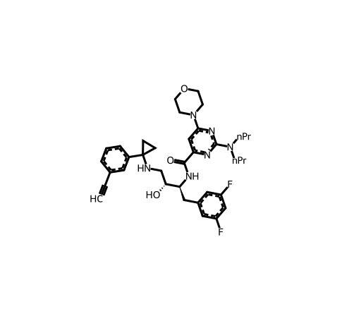 C#Cc1cccc(C2(NC[C@@H](O)[C@H](Cc3cc(F)cc(F)c3)NC(=O)c3cc(N4CCOCC4)nc(N(CCC)CCC)n3)CC2)c1